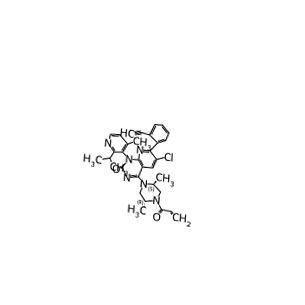 C#Cc1ccccc1-c1nc2c(cc1Cl)c(N1C[C@@H](C)N(C(=O)C=C)C[C@@H]1C)nc(=O)n2-c1c(C)ccnc1C(C)C